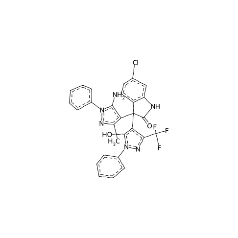 Cc1nn(-c2ccccc2)c(N)c1C1(c2c(C(F)(F)F)nn(-c3ccccc3)c2O)C(=O)Nc2cc(Cl)ccc21